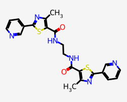 Cc1nc(-c2cccnc2)sc1C(=O)NCCNC(=O)c1sc(-c2cccnc2)nc1C